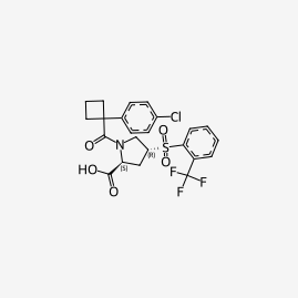 O=C(O)[C@@H]1C[C@@H](S(=O)(=O)c2ccccc2C(F)(F)F)CN1C(=O)C1(c2ccc(Cl)cc2)CCC1